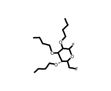 CCCCOC1C(F)OC(CF)[C@H](OCCCC)C1OCCCC